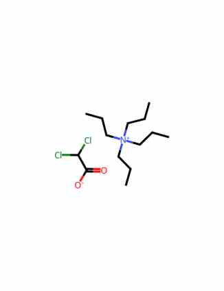 CCC[N+](CCC)(CCC)CCC.O=C([O-])C(Cl)Cl